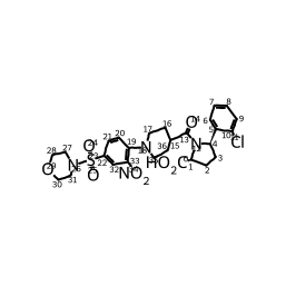 O=C(O)[C@@H]1CC[C@H](c2ccccc2Cl)N1C(=O)C1CCN(c2ccc(S(=O)(=O)N3CCOCC3)cc2[N+](=O)[O-])CC1